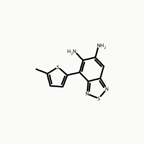 Cc1ccc(-c2c(N)c(N)cc3nsnc23)s1